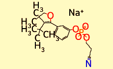 CC(C)(C)C1=C(c2cccc(OP(=O)([O-])OCCC#N)c2)OCC1(C)C.[Na+]